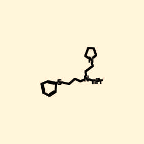 CCCN(CCCSc1ccccc1)CCN1CCCC1